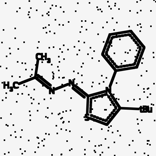 CC(C)=NN=c1scc(C(C)(C)C)n1-c1ccccc1